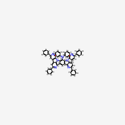 c1ccc(-c2cc3c4cc(-c5ccccc5)nc5c6cc7c8nc(-c9ccccc9)cc9c%10cc(-c%11ccccc%11)ncc%10n(c7c(N(c7ccccc7)c7ccccc7)c6n(c3cn2)c45)c98)cc1